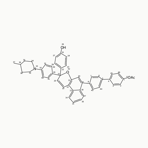 CC(=O)Oc1ccc(-c2ccc(-c3cc4c(c5ccccc35)C=CC(c3ccc(O)cc3)(c3ccc(N5CCC(C)CC5)cc3)O4)cc2)cc1